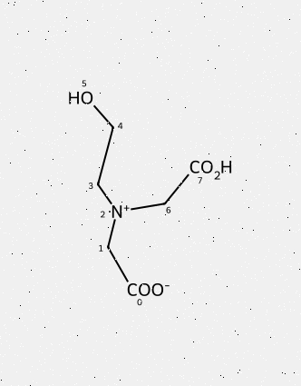 O=C([O-])C[N+](CCO)CC(=O)O